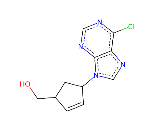 OCC1C=CC(n2cnc3c(Cl)ncnc32)C1